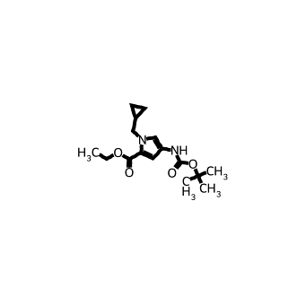 CCOC(=O)c1cc(NC(=O)OC(C)(C)C)cn1CC1CC1